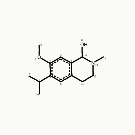 COc1cc2c(cc1C(C)C)CCN(C)C2O